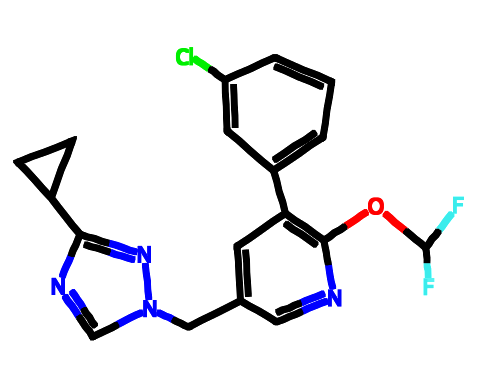 FC(F)Oc1ncc(Cn2cnc(C3CC3)n2)cc1-c1cccc(Cl)c1